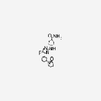 NC(=O)[C@H]1CC[C@H](Nc2ncc(F)c(-c3cccc(-n4ccccc4=O)c3)n2)CC1